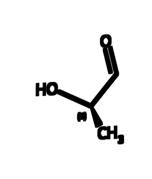 C[C@@H](O)C=O